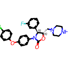 O=C1O[C@@H](CN2CCNCC2)[C@H](c2cccc(F)c2)N1c1ccc(Oc2ccc(Cl)cc2)cc1